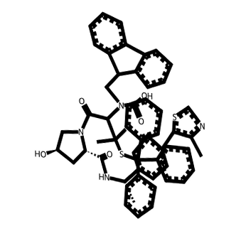 Cc1ncsc1-c1ccc([C@H](C)NC(=O)[C@@H]2C[C@@H](O)CN2C(=O)C(N(CC2c3ccccc3-c3ccccc32)C(=O)O)C(C)(C)SC(c2ccccc2)(c2ccccc2)c2ccccc2)cc1